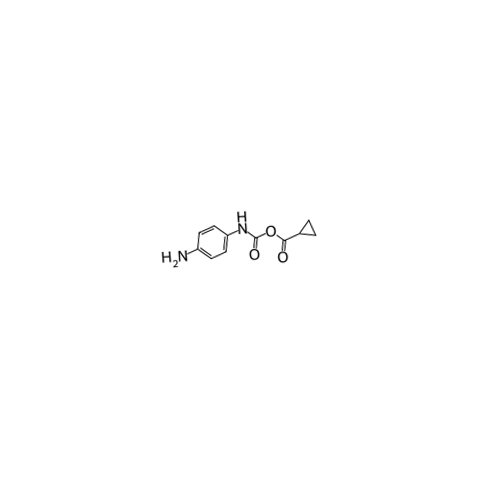 Nc1ccc(NC(=O)OC(=O)C2CC2)cc1